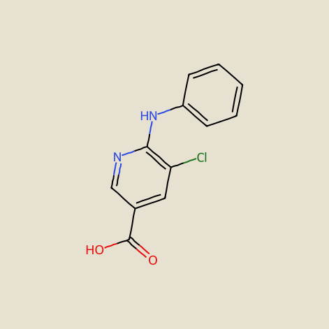 O=C(O)c1cnc(Nc2ccccc2)c(Cl)c1